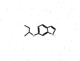 CCC(C)Oc1ccc2cc[te]c2c1